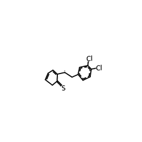 S=C1CC=CC=C1[CH]Cc1ccc(Cl)c(Cl)c1